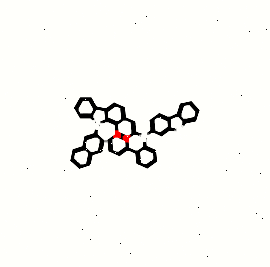 c1ccc(-c2ccccc2N(c2ccc3c(ccc4c5ccccc5n(-c5ccc6ccccc6c5)c34)c2)c2ccc3c(c2)oc2ccccc23)cc1